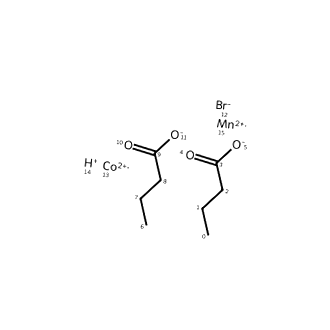 CCCC(=O)[O-].CCCC(=O)[O-].[Br-].[Co+2].[H+].[Mn+2]